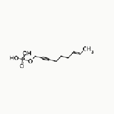 CC=CCCCC#CCOP(=O)(O)O